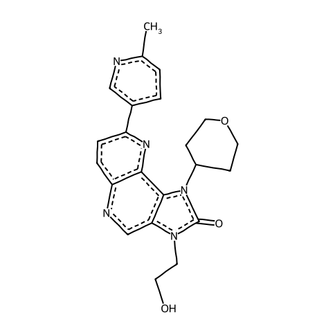 Cc1ccc(-c2ccc3ncc4c(c3n2)n(C2CCOCC2)c(=O)n4CCO)cn1